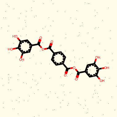 O=C(OC(=O)c1cc(O)c(O)c(O)c1)c1ccc(C(=O)OC(=O)c2cc(O)c(O)c(O)c2)cc1